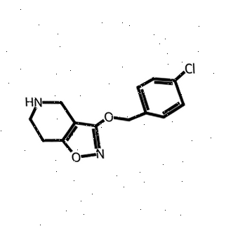 Clc1ccc(COc2noc3c2CNCC3)cc1